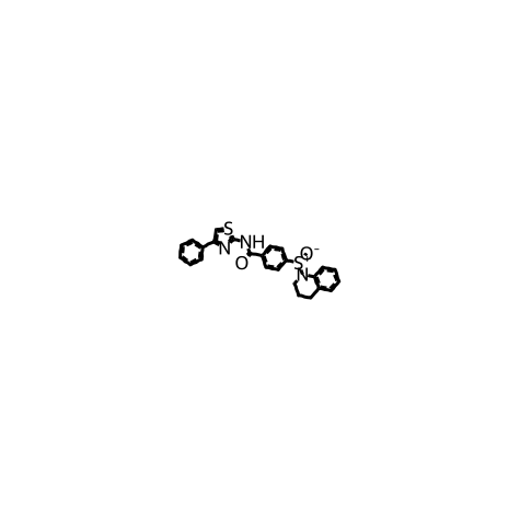 O=C(Nc1nc(-c2ccccc2)cs1)c1ccc([S+]([O-])N2CCCc3ccccc32)cc1